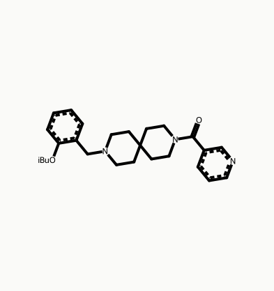 CC(C)COc1ccccc1CN1CCC2(CC1)CCN(C(=O)c1cccnc1)CC2